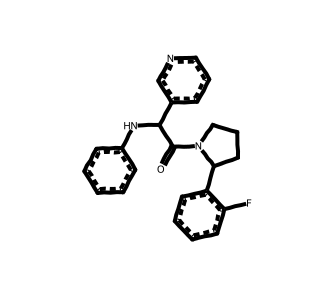 O=C(C(Nc1ccccc1)c1cccnc1)N1CCCC1c1ccccc1F